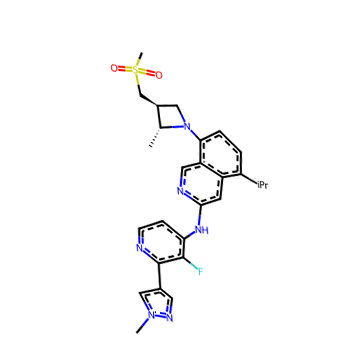 CC(C)c1ccc(N2C[C@H](CS(C)(=O)=O)[C@H]2C)c2cnc(Nc3ccnc(-c4cnn(C)c4)c3F)cc12